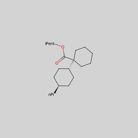 CCCC(C)OC(=O)C1([C@H]2CC[C@H](CCC)CC2)CCCCC1